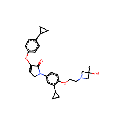 CC1(O)CN(CCOc2ccc(N3CC=C(Oc4ccc(C5CC5)cc4)C3=O)cc2C2CC2)C1